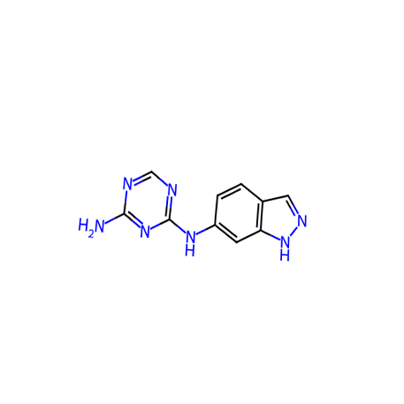 Nc1ncnc(Nc2ccc3cn[nH]c3c2)n1